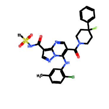 CCS(=O)(=O)NC(=O)c1cnn2c(Nc3cc(C)ccc3Cl)c(C(=O)N3CCC(F)(c4ccccc4)CC3)cnc12